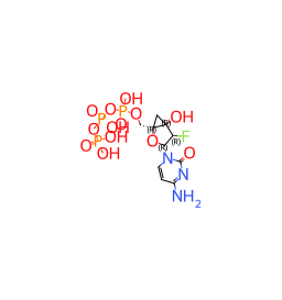 Nc1ccn([C@@H]2O[C@@]3(COP(=O)(O)OP(=O)(O)OP(=O)(O)O)C[C@]3(O)[C@H]2F)c(=O)n1